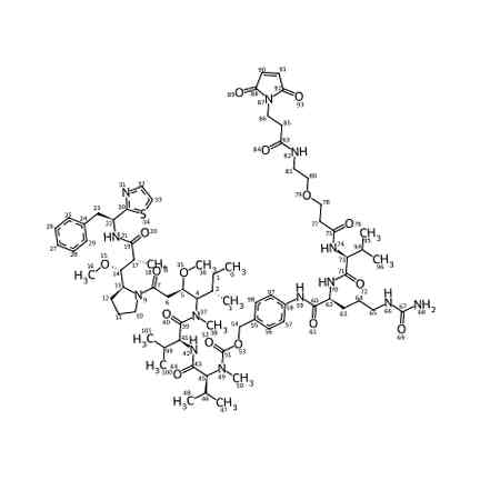 CC[C@H](C)C([C@@H](CC(=O)N1CCC[C@H]1[C@H](OC)[C@@H](C)C(=O)N[C@@H](Cc1ccccc1)c1nccs1)OC)N(C)C(=O)[C@@H](NC(=O)[C@H](C(C)C)N(C)C(=O)OCc1ccc(NC(=O)[C@H](CCCNC(N)=O)NC(=O)[C@@H](NC(=O)CCOCCNC(=O)CCN2C(=O)C=CC2=O)C(C)C)cc1)C(C)C